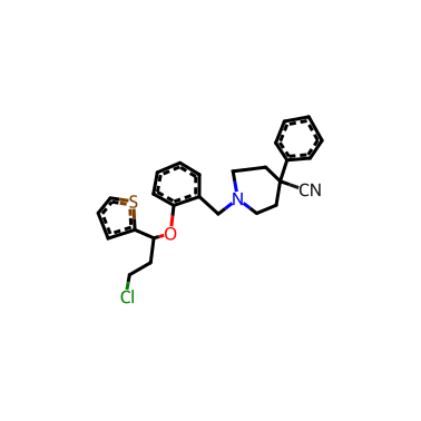 N#CC1(c2ccccc2)CCN(Cc2ccccc2OC(CCCl)c2cccs2)CC1